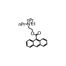 CCC[N+](CC)(CCC)CCOC(=O)c1c2ccccc2cc2ccccc12